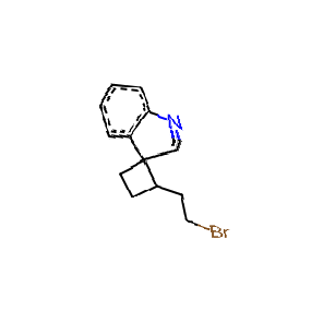 BrCCC1CCC12C=Nc1ccccc12